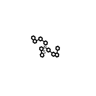 c1ccc(-c2cccc3ccc(-c4ccc(N(c5cccc(-c6cccc(-c7cccc8ccccc78)c6)c5)c5cccc6c5sc5ccccc56)cc4)cc23)cc1